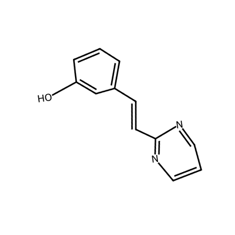 Oc1cccc(C=Cc2ncccn2)c1